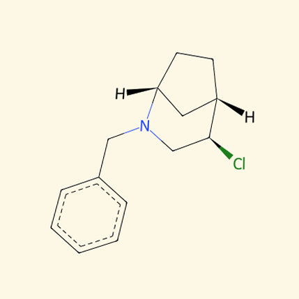 Cl[C@H]1CN(Cc2ccccc2)[C@@H]2CC[C@H]1C2